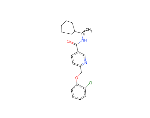 C[C@@H](NC(=O)c1ccc(COc2ccccc2Cl)nc1)C1CCCCC1